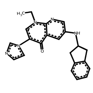 CCn1cc(-n2ccnc2)c(=O)c2cc(NC3Cc4ccccc4C3)cnc21